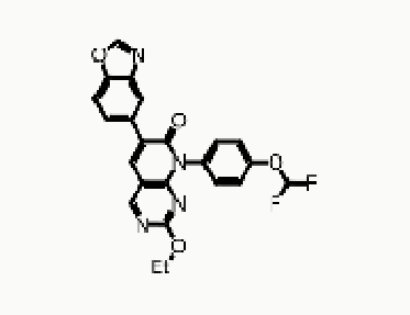 CCOc1ncc2cc(-c3ccc4ocnc4c3)c(=O)n(-c3ccc(OC(F)F)cc3)c2n1